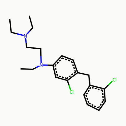 CCN(CC)CCN(CC)c1ccc(Cc2ccccc2Cl)c(Cl)c1